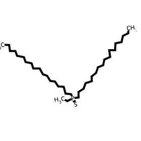 CCCCCCCCCCCCCCCCCCP(=S)(CC)CCCCCCCCCCCCCCCCCC